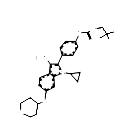 C[C@@H](OC(=O)Nc1ccc(-c2c(N)c3ccc(OC4CCOCC4)cc3n2C2CC2)cc1)C(F)(F)F